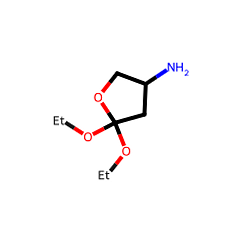 CCOC1(OCC)CC(N)CO1